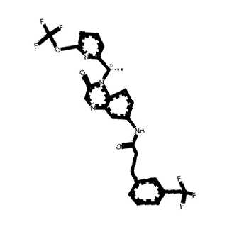 C[C@@H](c1cccc(OC(F)(F)F)n1)n1c(=O)cnc2cc(NC(=O)CCc3cccc(C(F)(F)F)c3)ccc21